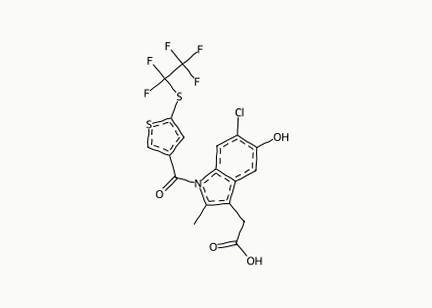 Cc1c(CC(=O)O)c2cc(O)c(Cl)cc2n1C(=O)c1csc(SC(F)(F)C(F)(F)F)c1